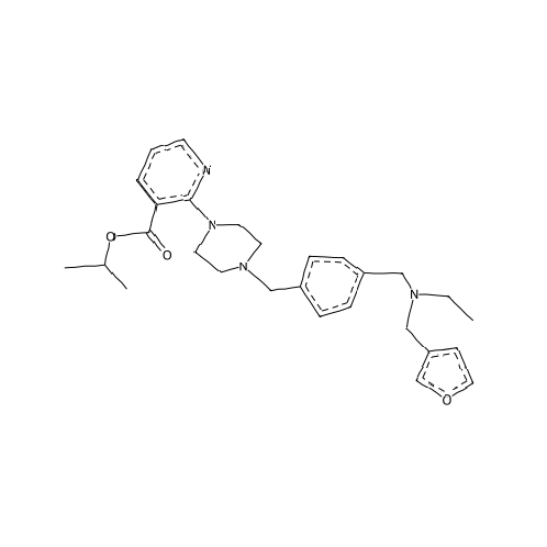 CCN(Cc1ccc(CN2CCN(c3ncccc3C(=O)OC(C)C)CC2)cc1)Cc1ccoc1